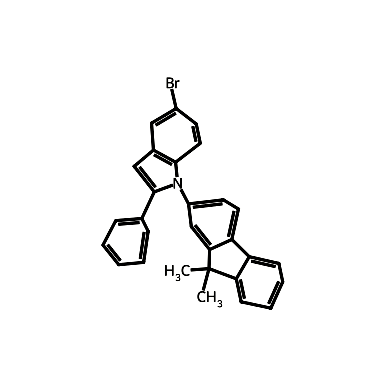 CC1(C)c2ccccc2-c2ccc(-n3c(-c4ccccc4)cc4cc(Br)ccc43)cc21